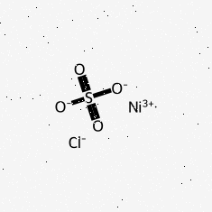 O=S(=O)([O-])[O-].[Cl-].[Ni+3]